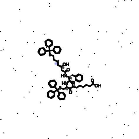 O=C(O)CCCCCNC(=O)[C@@H](CSC(c1ccccc1)(c1ccccc1)c1ccccc1)NC(=O)[C@@H](Cc1ccccc1)NC(=O)C[C@H](O)/C=C/CCSC(c1ccccc1)(c1ccccc1)c1ccccc1